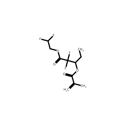 C=C(C)C(=O)OC(CC)C(F)(F)C(=O)OCC(F)F